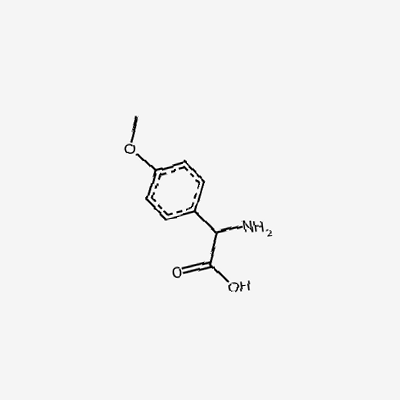 COc1ccc(C(N)C(=O)O)cc1